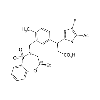 CC[C@@H]1CN(Cc2cc(C(CC(=O)O)c3cc(F)c(C(C)=O)s3)ccc2C)S(=O)(=O)c2ccccc2O1